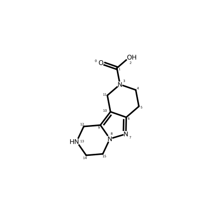 O=C(O)N1CCc2nn3c(c2C1)CNCC3